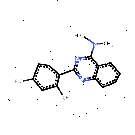 CN(C)c1nc(-c2ccc(C(F)(F)F)cc2C(F)(F)F)nc2ccccc12